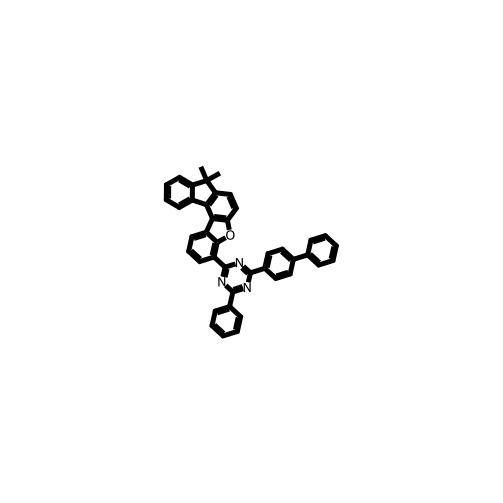 CC1(C)c2ccccc2-c2c1ccc1oc3c(-c4nc(-c5ccccc5)nc(-c5ccc(-c6ccccc6)cc5)n4)cccc3c21